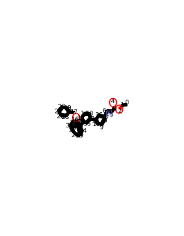 CCOC(=O)/C=C/c1cccc(-c2ccc(OCc3ccccc3)c(C34CC5CC(CC(C5)C3)C4)c2)c1